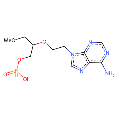 COCC(CO[PH](=O)O)OCCn1cnc2c(N)ncnc21